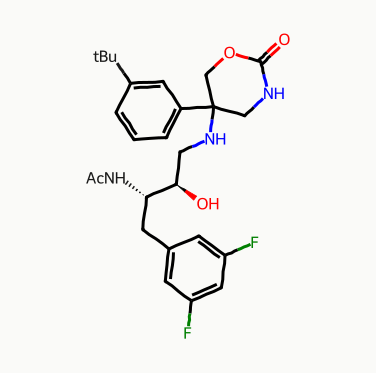 CC(=O)N[C@@H](Cc1cc(F)cc(F)c1)[C@H](O)CNC1(c2cccc(C(C)(C)C)c2)CNC(=O)OC1